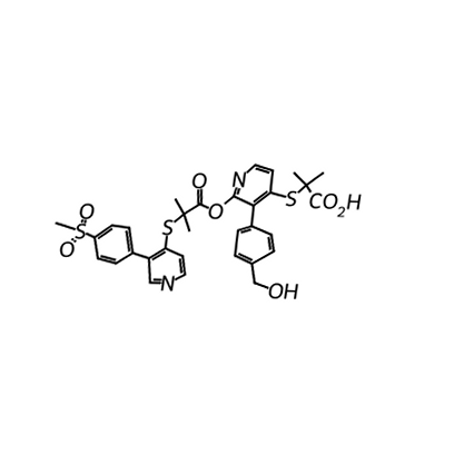 CC(C)(Sc1ccnc(OC(=O)C(C)(C)Sc2ccncc2-c2ccc(S(C)(=O)=O)cc2)c1-c1ccc(CO)cc1)C(=O)O